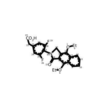 CCOc1c2c(c(OCC)c3ccccc13)C(=O)N(c1c(F)cc(CC(=O)O)cc1F)C2